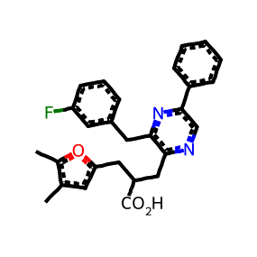 Cc1cc(CC(Cc2ncc(-c3ccccc3)nc2Cc2cccc(F)c2)C(=O)O)oc1C